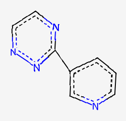 c1cncc(-c2nccnn2)c1